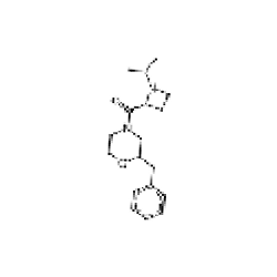 CC(C)N1CC[C@H]1C(=O)N1CCOC(Cc2ccccc2)C1